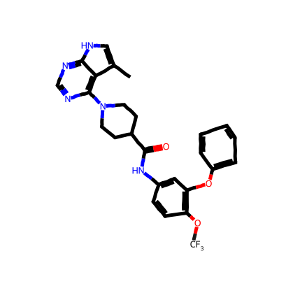 Cc1c[nH]c2ncnc(N3CCC(C(=O)Nc4ccc(OC(F)(F)F)c(Oc5ccccc5)c4)CC3)c12